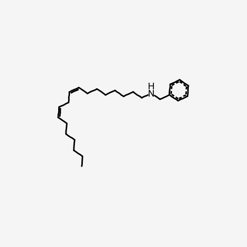 CCCCCC/C=C\C/C=C\CCCCCCCNCc1ccccc1